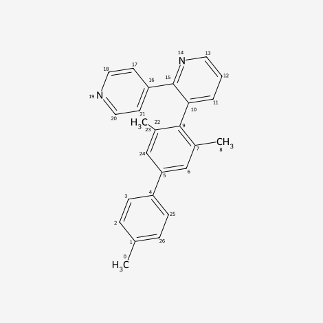 Cc1ccc(-c2cc(C)c(-c3cccnc3-c3ccncc3)c(C)c2)cc1